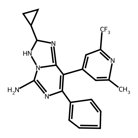 Cc1cc(C2=C(c3ccccc3)N=C(N)N3NC(C4CC4)N=C23)cc(C(F)(F)F)n1